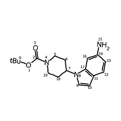 CC(C)(C)OC(=O)N1CCC(n2ccc3ccc(N)cc32)CC1